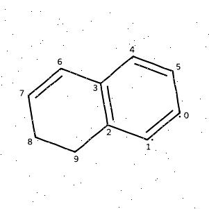 [c]1[c]c2c(cc1)C=CCC2